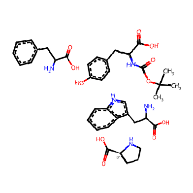 CC(C)(C)OC(=O)NC(Cc1ccc(O)cc1)C(=O)O.NC(Cc1c[nH]c2ccccc12)C(=O)O.NC(Cc1ccccc1)C(=O)O.O=C(O)[C@@H]1CCCN1